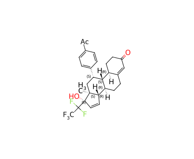 CC(=O)c1ccc([C@H]2C[C@@]3(C)[C@@H](C=C[C@@]3(O)C(F)(F)C(F)(F)F)[C@@H]3CCC4=CC(=O)CC[C@@H]4[C@H]32)cc1